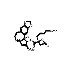 COC/C=C/C[C@]1(C(=O)O[C@@H]2C(OC)=C[C@]34CCCN3CCc3cc5c(cc3[C@H]24)OCO5)CC(=O)O1